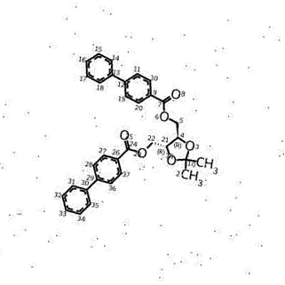 CC1(C)O[C@H](COC(=O)c2ccc(-c3ccccc3)cc2)[C@@H](COC(=O)c2ccc(-c3ccccc3)cc2)O1